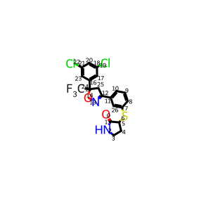 O=C1NCCC1Sc1cccc(C2=NOC(c3cc(Cl)cc(Cl)c3)(C(F)(F)F)C2)c1